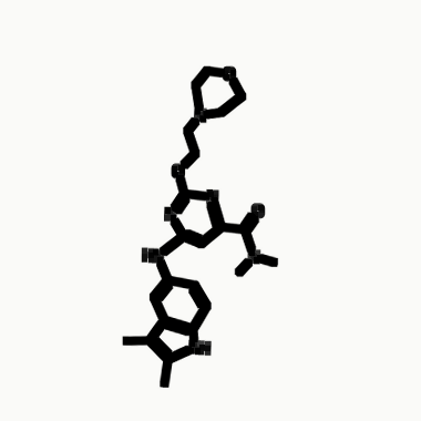 Cc1[nH]c2ccc(Nc3cc(C(=O)N(C)C)nc(OCCN4CCOCC4)n3)cc2c1C